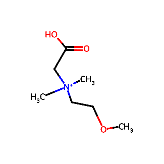 COCC[N+](C)(C)CC(=O)O